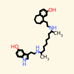 CC(CCCCCCC(C)NCCc1c[nH]c2ccc(O)cc12)NCCC1=CCCCc2ccc(O)cc21